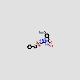 COc1ccc(CC(C(=O)NO)n2cc(CNS(=O)(=O)c3ccc(-c4ccccc4)s3)nn2)cc1